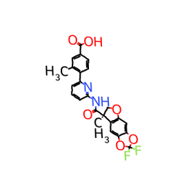 Cc1cc(C(=O)O)ccc1-c1cccc(NC(=O)[C@@]2(C)COc3cc4c(cc32)OC(F)(F)O4)n1